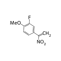 C=C(c1ccc(OC)c(F)c1)[N+](=O)[O-]